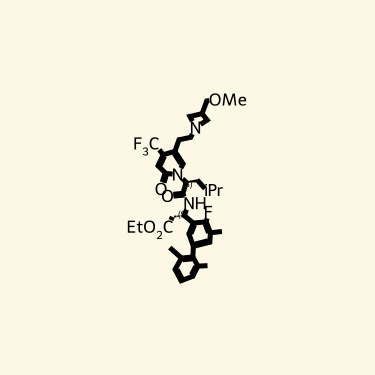 CCOC(=O)C[C@H](NC(=O)[C@H](CC(C)C)n1cc(CCN2CC(COC)C2)c(C(F)(F)F)cc1=O)c1cc(-c2c(C)cccc2C)cc(C)c1F